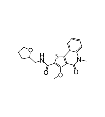 COc1c(C(=O)NCC2CCCO2)sc2c1c(=O)n(C)c1ccccc21